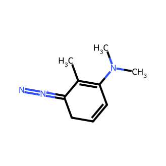 CC1=C(N(C)C)C=CCC1=[N+]=[N-]